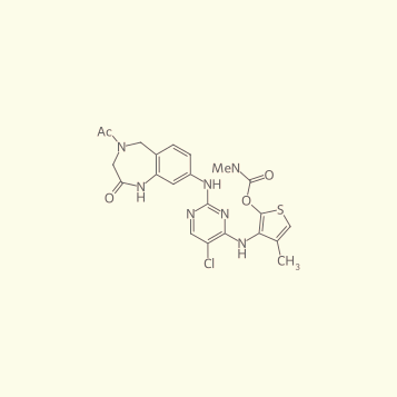 CNC(=O)Oc1scc(C)c1Nc1nc(Nc2ccc3c(c2)NC(=O)CN(C(C)=O)C3)ncc1Cl